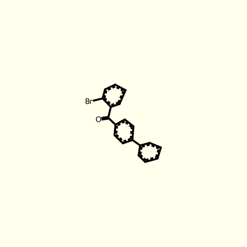 O=C(c1ccc(-c2ccccc2)cc1)c1ccccc1Br